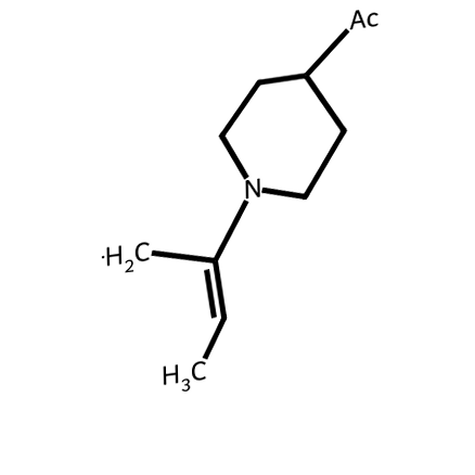 [CH2]C(=CC)N1CCC(C(C)=O)CC1